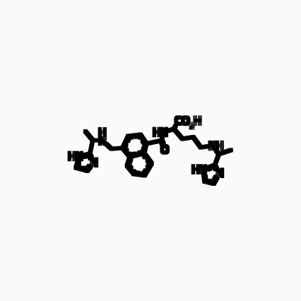 CC(NCCCC(NC(=O)c1ccc(CNC(C)c2ncc[nH]2)c2ccccc12)C(=O)O)c1ncc[nH]1